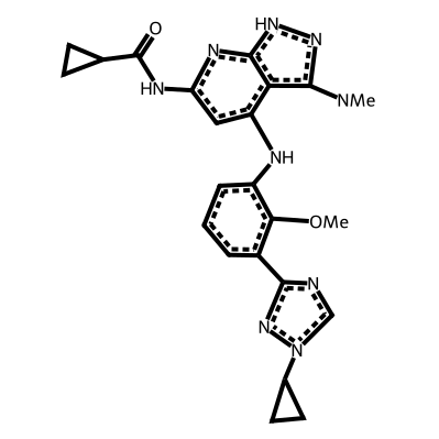 CNc1n[nH]c2nc(NC(=O)C3CC3)cc(Nc3cccc(-c4ncn(C5CC5)n4)c3OC)c12